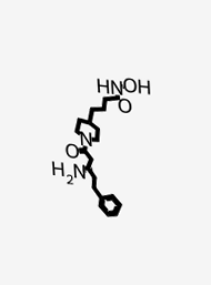 N[C@H](CCc1ccccc1)CC(=O)N1CCC(CCCC(=O)NO)CC1